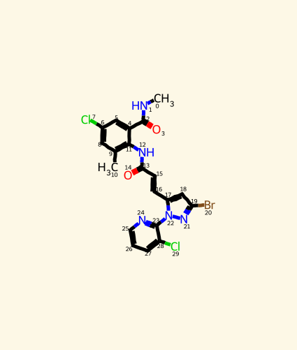 CNC(=O)c1cc(Cl)cc(C)c1NC(=O)C=Cc1cc(Br)nn1-c1ncccc1Cl